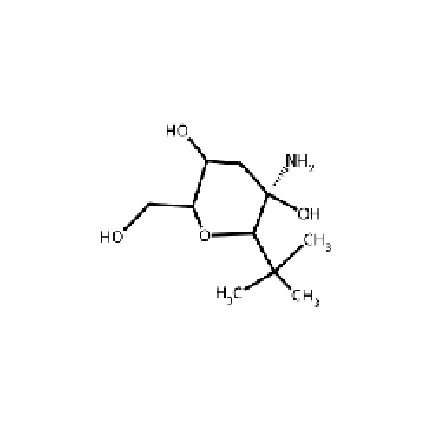 CC(C)(C)C1OC(CO)C(O)C[C@@]1(N)O